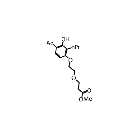 CCCc1c(OCCOCCC(=O)OC)ccc(C(C)=O)c1O